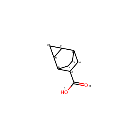 O=C(O)C1CC2CCC1C1CC21